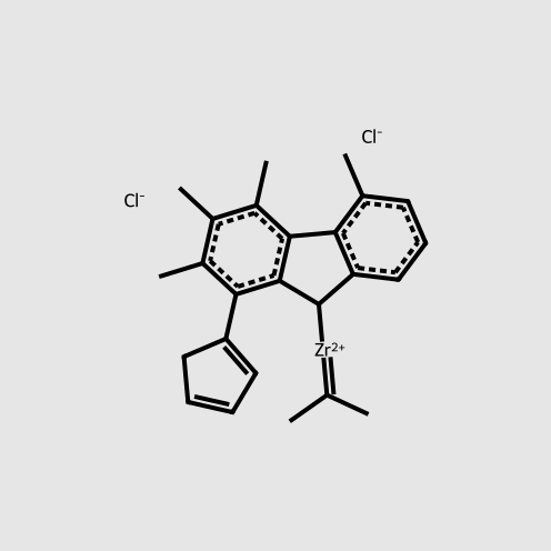 C[C](C)=[Zr+2][CH]1c2cccc(C)c2-c2c(C)c(C)c(C)c(C3=CC=CC3)c21.[Cl-].[Cl-]